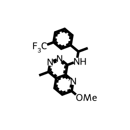 COc1ccc2c(C)nnc(NC(C)c3cccc(C(F)(F)F)c3)c2n1